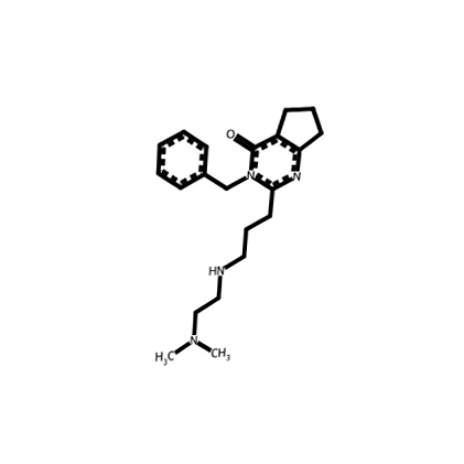 CN(C)CCNCCCc1nc2c(c(=O)n1Cc1ccccc1)CCC2